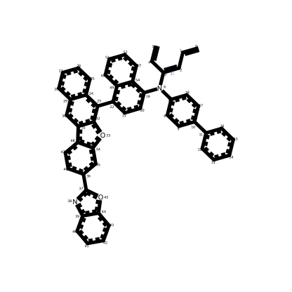 C=C/C=C(\C=C)N(c1ccc(-c2ccccc2)cc1)c1ccc(-c2c3ccccc3cc3c2oc2cc(-c4nc5ccccc5o4)ccc23)c2ccccc12